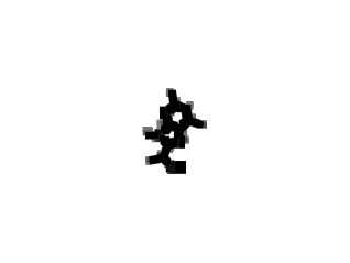 Cc1cc(C)c2nc(C(C)O)n(C)c2n1